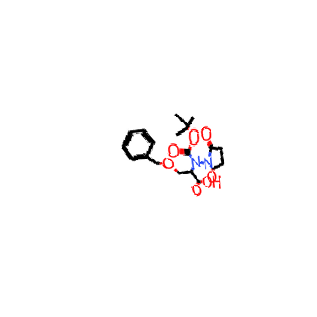 CC(C)(C)OC(=O)N(C(COCc1ccccc1)C(=O)O)N1C(=O)CCC1=O